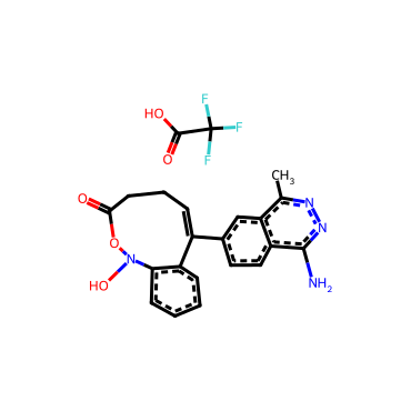 Cc1nnc(N)c2ccc(C3=CCCC(=O)ON(O)c4ccccc43)cc12.O=C(O)C(F)(F)F